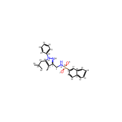 Cc1c(CNS(=O)(=O)c2ccc3ccccc3c2)nn(-c2ccccc2)c1CC(C)C